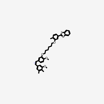 COc1ccc(/C=C\c2cc(C)c(C)c(OC)c2)cc1OCCCCCCOc1cc(-c2nc3ccccc3s2)ccc1C